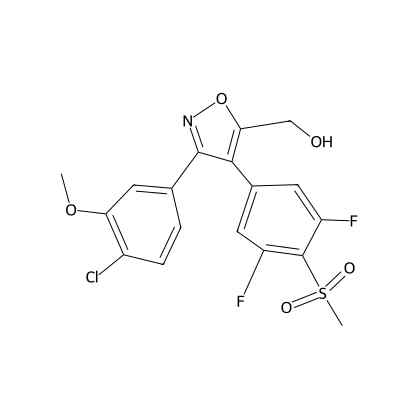 COc1cc(-c2noc(CO)c2-c2cc(F)c(S(C)(=O)=O)c(F)c2)ccc1Cl